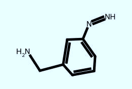 N=Nc1cccc(CN)c1